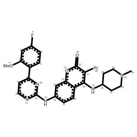 COc1cc(F)ccc1-c1ccnc(Nc2ccc3c(NC4CCN(C)CC4)c(C(C)=O)c(=O)oc3c2)n1